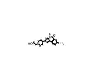 Cc1ccc2c(c1)c(=O)[nH]c1nn(C3CCN(CCO)CC3)cc12